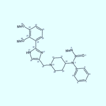 CNC(=O)N(c1ccccc1)C1CCN(Cc2c[nH]c(-c3cccc(OC)c3OC)n2)CC1